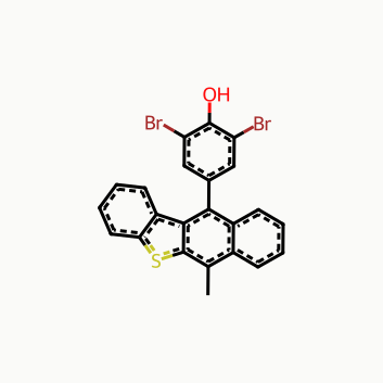 Cc1c2ccccc2c(-c2cc(Br)c(O)c(Br)c2)c2c1sc1ccccc12